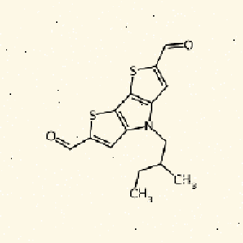 CCC(C)Cn1c2cc(C=O)sc2c2sc(C=O)cc21